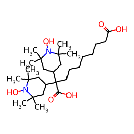 CC1(C)CC(C(CCCCCCCC(=O)O)(C(=O)O)C2CC(C)(C)N(O)C(C)(C)C2)CC(C)(C)N1O